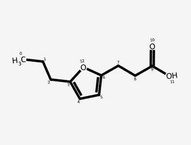 CCCc1ccc(CCC(=O)O)o1